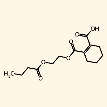 CCCC(=O)OCCOC(=O)C1=C(C(=O)O)CCCC1